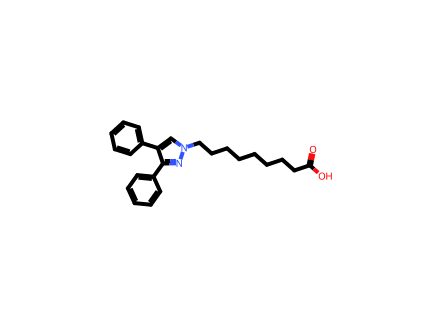 O=C(O)CCCCCCCCn1cc(-c2ccccc2)c(-c2ccccc2)n1